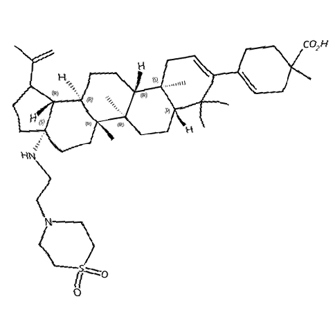 C=C(C)C1CC[C@]2(NCCN3CCS(=O)(=O)CC3)CC[C@]3(C)[C@H](CC[C@@H]4[C@@]5(C)CC=C(C6=CCC(C)(C(=O)O)CC6)C(C)(C)[C@@H]5CC[C@]43C)[C@@H]12